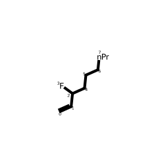 C=CC(F)CCCCCC